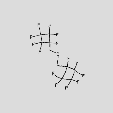 FC1(F)C(F)(F)C(F)(COCC2(F)C(F)(F)C(F)(F)C2(F)F)C1(F)F